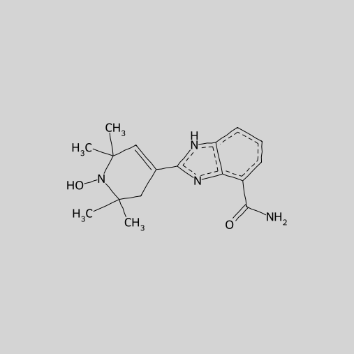 CC1(C)C=C(c2nc3c(C(N)=O)cccc3[nH]2)CC(C)(C)N1O